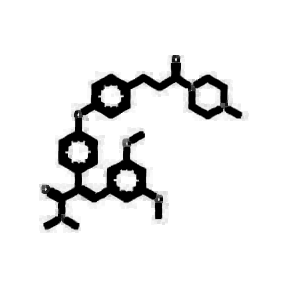 COc1cc(/C=C(/C(=O)N(C)C)c2ccc(Oc3ccc(CCC(=O)N4CCN(C)CC4)cc3)cc2)cc(OC)c1